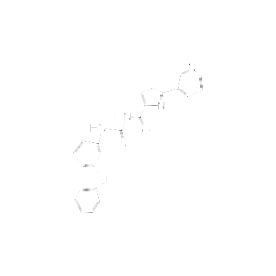 O=C(NC(=S)Nc1cccc(Oc2ccccc2)c1)c1csc(-c2cccnc2)n1